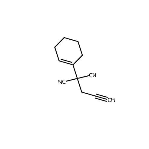 C#CCC(C#N)(C#N)C1=CCCCC1